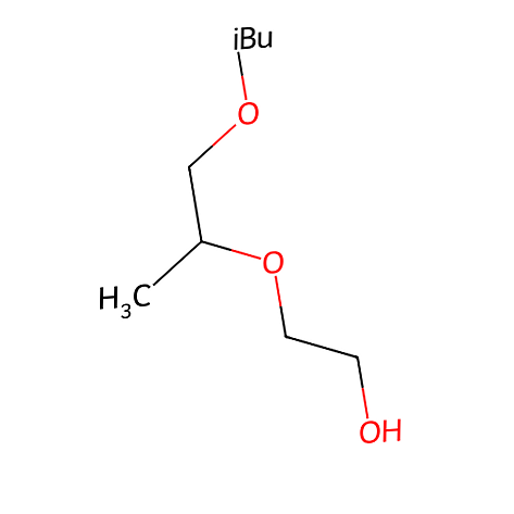 CCC(C)OCC(C)OCCO